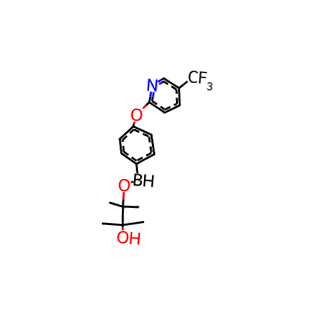 CC(C)(O)C(C)(C)OBc1ccc(Oc2ccc(C(F)(F)F)cn2)cc1